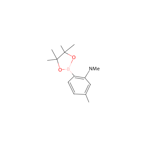 CNc1cc(C)ccc1B1OC(C)(C)C(C)(C)O1